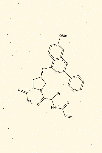 C=CC(=O)NC(C(=O)N1C[C@H](Oc2cc(-c3ccccc3)nc3cc(OC)ccc23)C[C@H]1C(N)=O)C(C)C